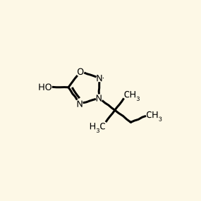 CCC(C)(C)N1[N]OC(O)=N1